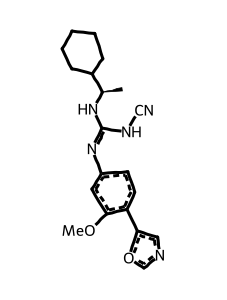 COc1cc(/N=C(\NC#N)N[C@H](C)C2CCCCC2)ccc1-c1cnco1